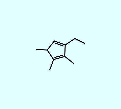 CCC1=[C]C(C)C(C)=C1C